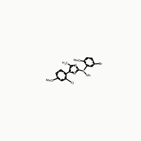 CCCN(c1nc(-c2ccc(OC)cc2Cl)c(C)s1)c1cc(Br)ccc1OC